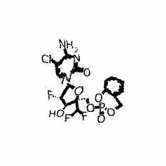 Nc1nc(=O)n([C@@H]2O[C@@](COP3(=O)OCc4ccccc4O3)(C(F)F)[C@@H](O)[C@@H]2F)cc1Cl